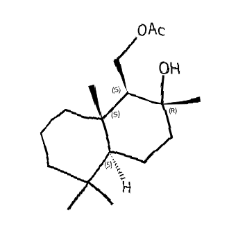 CC(=O)OC[C@@H]1[C@@]2(C)CCCC(C)(C)[C@@H]2CC[C@@]1(C)O